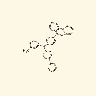 Cc1cccc(N(c2ccc(-c3ccccc3)cc2)c2ccc(-c3cc4ccccc4c4ccccc34)cc2)c1